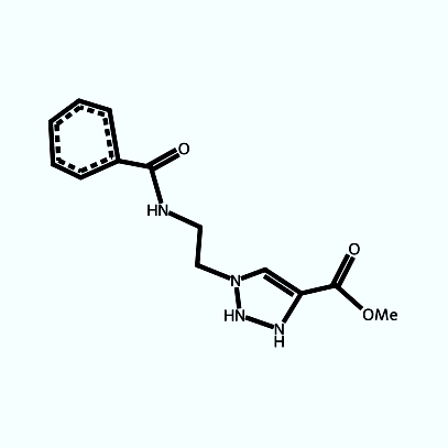 COC(=O)C1=CN(CCNC(=O)c2ccccc2)NN1